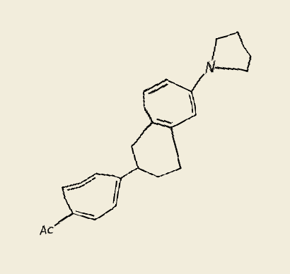 CC(=O)c1ccc(C2CCc3cc(N4CCCC4)ccc3C2)cc1